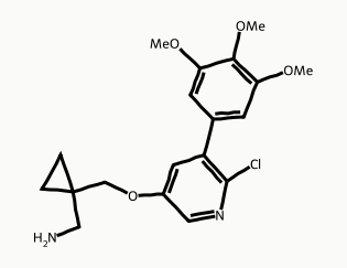 COc1cc(-c2cc(OCC3(CN)CC3)cnc2Cl)cc(OC)c1OC